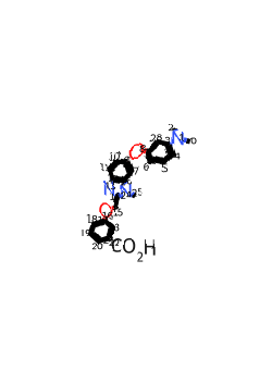 CN(C)c1cccc(Oc2ccc3nc(COc4cccc(C(=O)O)c4)n(C)c3c2)c1